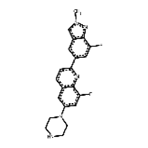 Cn1cc2cc(-c3ccc4cc(N5CCNCC5)cc(F)c4n3)cc(F)c2n1